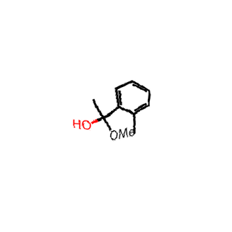 COC(C)(O)c1ccccc1C